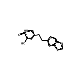 O=c1[nH]nc(CCc2ccc3ncsc3c2)cc1O